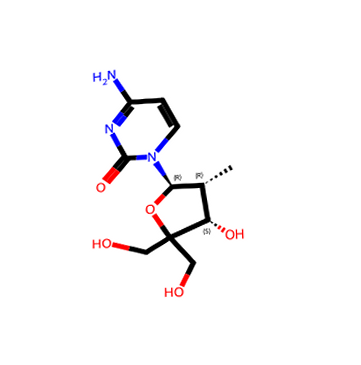 C[C@H]1[C@H](n2ccc(N)nc2=O)OC(CO)(CO)[C@H]1O